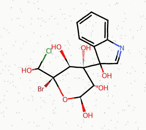 OC(Cl)[C@@]1(Br)O[C@H](O)[C@@H](O)[C@](O)(C2(O)C=Nc3ccccc32)[C@@H]1O